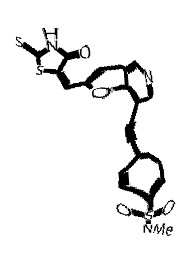 CNS(=O)(=O)c1ccc(C#Cc2cncc3cc(C=C4SC(=S)NC4=O)oc23)cc1